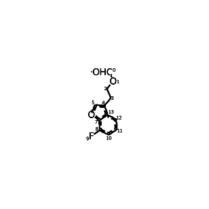 O=[C]OCCc1coc2c(F)cccc12